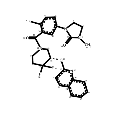 CN1CCN(c2ccc(F)c(C(=O)N3CCC(F)(F)[C@@H](Oc4ccc5ccccc5n4)C3)c2)C1=O